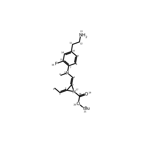 C/C=C1\C(=C/N(C)c2ccc(CCN)cc2F)N1C(=O)OC(C)(C)C